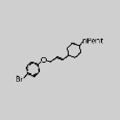 CCCCCC1CCC(C=CCOc2ccc(Br)cc2)CC1